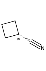 N#C[C@@H]1[CH]CC1